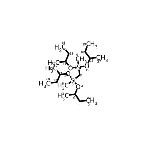 CCC(C)O[Si](C)(C[Si](C)(OC(C)CC)OC(C)CC)OC(C)CC